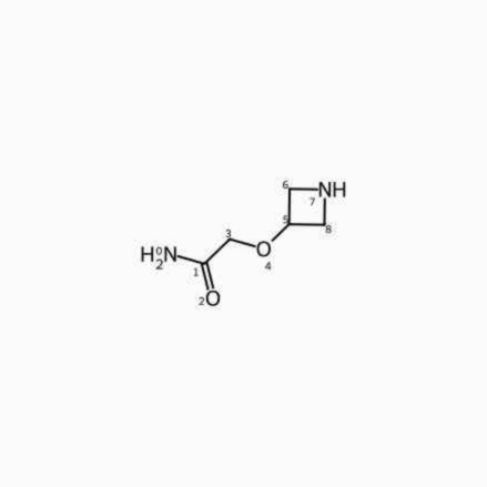 NC(=O)COC1CNC1